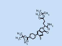 CC(C)(C)OC(=O)CCC(C(N)=O)N1Cc2cc(N3CCN(C(=O)OC(C)(C)C)CC3)c(F)cc2C1=O